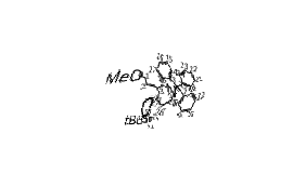 COC/C=C1\CN(C(c2ccccc2)(c2ccccc2)c2ccccc2)CCC1O[Si](C)(C)C(C)(C)C